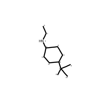 CCNC1CCC(C(C)(C)C)CC1